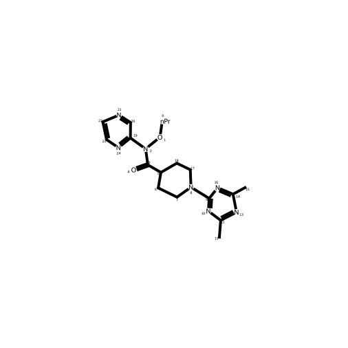 CCCON(C(=O)C1CCN(c2nc(C)nc(C)n2)CC1)c1cnccn1